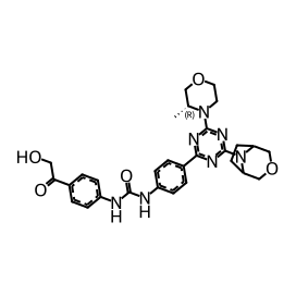 C[C@@H]1COCCN1c1nc(-c2ccc(NC(=O)Nc3ccc(C(=O)CO)cc3)cc2)nc(N2C3CCC2COC3)n1